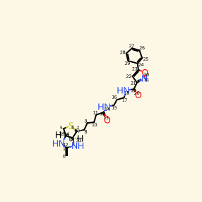 C=C1N[C@H]2[C@H](CS[C@H]2CCCCC(=O)NCCCNC(=O)c2cc(-c3ccccc3)on2)N1